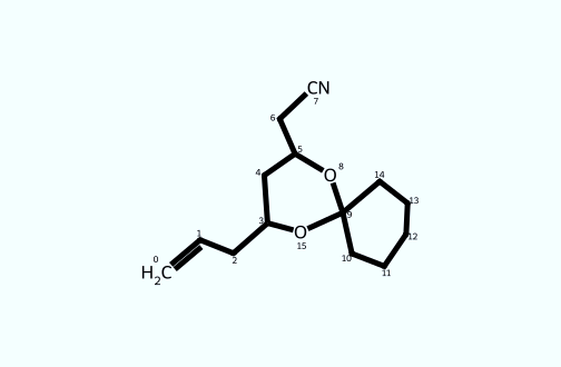 C=CCC1CC(CC#N)OC2(CCCCC2)O1